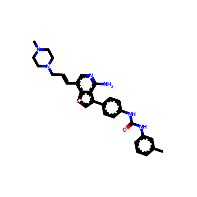 Cc1cccc(NC(=O)Nc2ccc(-c3csc4c(/C=C/CN5CCN(C)CC5)cnc(N)c34)cc2)c1